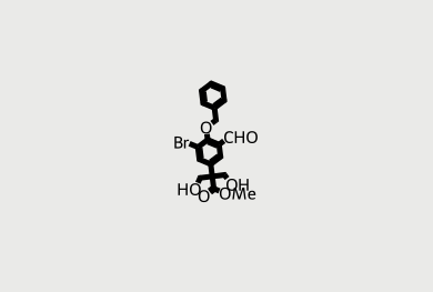 COC(=O)C(CO)(CO)c1cc(Br)c(OCc2ccccc2)c(C=O)c1